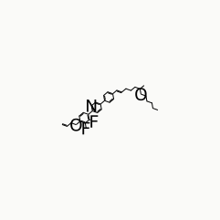 C=CCOc1ccc(-c2ccc(-c3ccc(C=CCCCC(C)OCCCCC)cc3)cn2)c(F)c1F